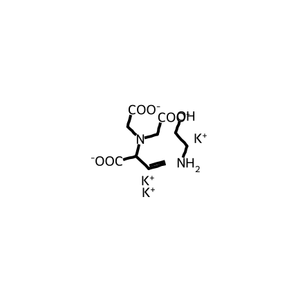 C=CC(C(=O)[O-])N(CC(=O)[O-])CC(=O)[O-].NCCO.[K+].[K+].[K+]